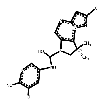 C[C@@]1(C(F)(F)F)CN(C(O)Nc2cnc(C#N)c(Cl)c2)c2cnc3cc(Cl)nn3c21